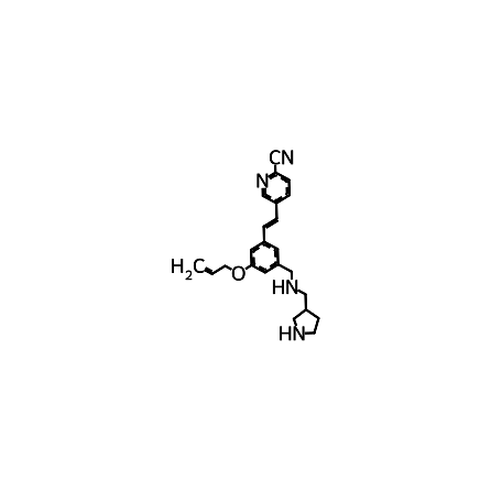 C=CCOc1cc(/C=C/c2ccc(C#N)nc2)cc(CNCC2CCNC2)c1